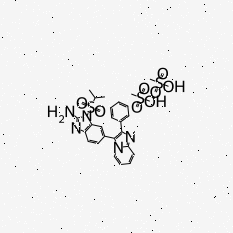 CC(C)S(=O)(=O)n1c(N)nc2ccc(-c3c(-c4ccccc4)nc4ccccn34)cc21.CS(=O)(=O)O.CS(=O)(=O)O